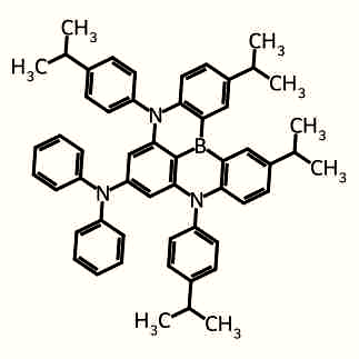 CC(C)c1ccc(N2c3ccc(C(C)C)cc3B3c4cc(C(C)C)ccc4N(c4ccc(C(C)C)cc4)c4cc(N(c5ccccc5)c5ccccc5)cc2c43)cc1